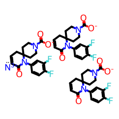 O=C([O-])N1CCC2(CC=CC(=O)N2c2ccc(F)c(F)c2)CC1.O=C([O-])N1CCC2(CC=CC(=O)N2c2ccc(F)c(F)c2)CC1.O=C([O-])N1CCC2(CC=CC(=O)N2c2ccc(F)c(F)c2)CC1.[N+3]